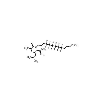 C=C(CC(CN(C)C)CN(C)C)C(=O)OCCCC(F)(F)C(F)(F)C(F)(F)C(F)(F)C(F)(F)C(F)(F)CCCCC